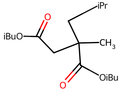 CC(C)COC(=O)CC(C)(CC(C)C)C(=O)OCC(C)C